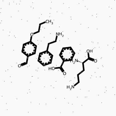 CCCOc1ccc(C=O)cc1.NCCC[C@H](N)C(=O)O.NCCc1ccccc1.O=C(O)c1ccccc1